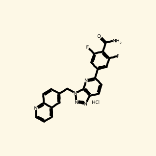 Cl.NC(=O)c1c(F)cc(-c2ccc3nnn(Cc4ccc5ncccc5c4)c3n2)cc1F